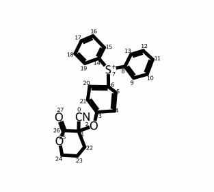 N#CC1(Oc2ccc([S+](c3ccccc3)c3ccccc3)cc2)CCCOC1=O